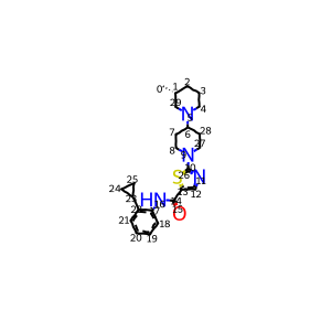 C[C@@H]1CCCN(C2CCN(c3ncc(C(=O)Nc4ccccc4C4CC4)s3)CC2)C1